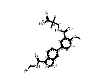 [2H]CNC(=O)c1n[nH]c2cc(-c3cnc(OC)c(C(=O)NCC(C)(C)C(=O)O)c3)ccc12